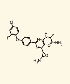 C[C@H](Nc1cc(C2OC2N)nc(-c2ccc(Oc3ccc(Cl)cc3F)cc2)n1)C(N)=O